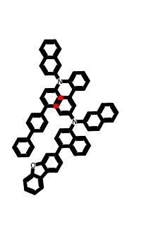 c1ccc(-c2ccc(-c3ccc(N(c4ccc5ccccc5c4)c4ccccc4-c4cccc(N(c5ccc6ccccc6c5)c5ccc(-c6ccc7c(c6)oc6ccccc67)c6ccccc56)c4)cc3)cc2)cc1